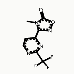 Cn1c(-c2ccnc(C(F)(F)F)n2)noc1=O